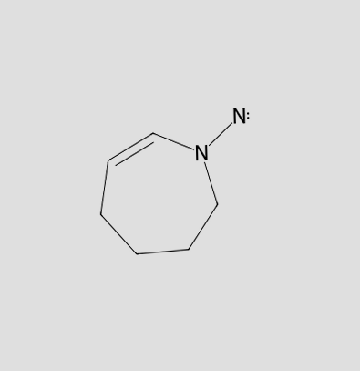 [N]N1C=CCCCC1